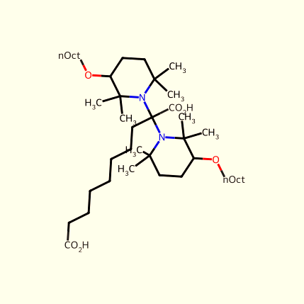 CCCCCCCCOC1CCC(C)(C)N(C(CCCCCCCC(=O)O)(C(=O)O)N2C(C)(C)CCC(OCCCCCCCC)C2(C)C)C1(C)C